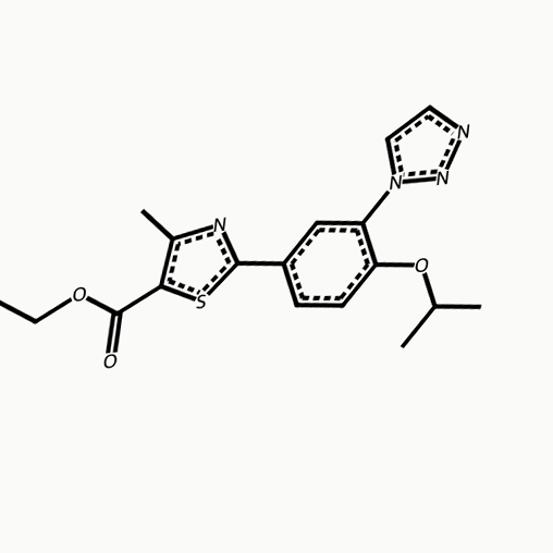 CCOC(=O)c1sc(-c2ccc(OC(C)C)c(-n3ccnn3)c2)nc1C